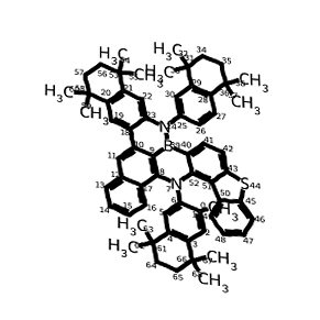 Cc1cc2c(cc1N1c3c4c(cc5ccccc35)-c3cc5c(cc3N(c3ccc6c(c3)C(C)(C)CCC6(C)C)B4c3ccc4sc6ccccc6c4c31)C(C)(C)CCC5(C)C)C(C)(C)CCC2(C)C